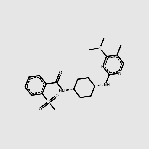 Cc1cnc(N[C@H]2CC[C@@H](NC(=O)c3ccccc3S(C)(=O)=O)CC2)nc1N(C)C